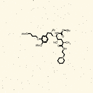 COCCCOc1cc(C[C@@H](C[C@H](NC(=O)OC(C)(C)C)[C@@H](O)C[C@@H](C)C(=O)NCCN2CCCCC2)C(C)C)ccc1OC